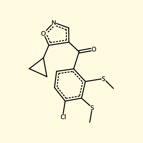 CSc1c(Cl)ccc(C(=O)c2cnoc2C2CC2)c1SC